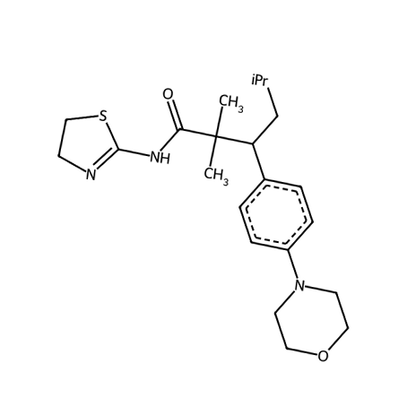 CC(C)CC(c1ccc(N2CCOCC2)cc1)C(C)(C)C(=O)NC1=NCCS1